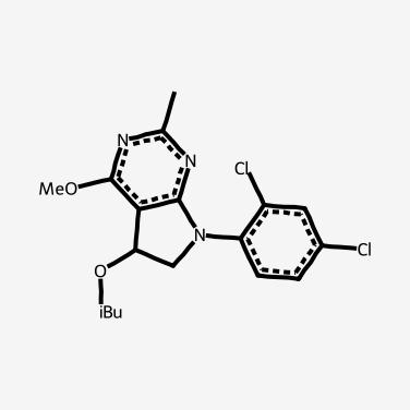 CCC(C)OC1CN(c2ccc(Cl)cc2Cl)c2nc(C)nc(OC)c21